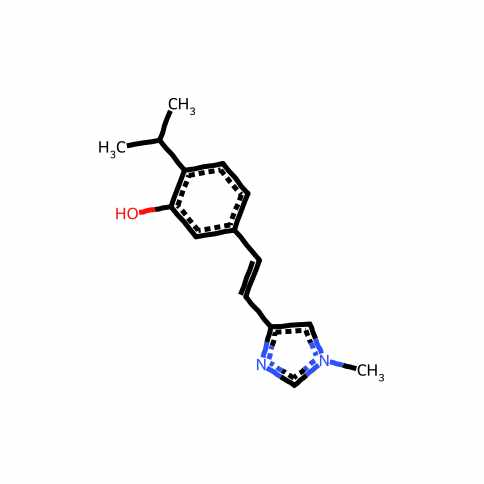 CC(C)c1ccc(/C=C/c2cn(C)cn2)cc1O